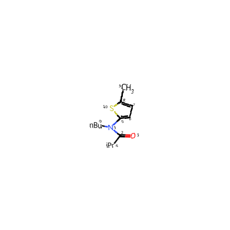 CCCCN(C(=O)C(C)C)c1ccc(C)s1